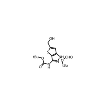 CC(C)(C)OC(=O)Nc1n[nH]c2cc(CO)sc12.CC(C)(C)OC=O